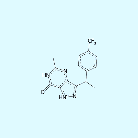 Cc1nc2c(C(C)c3ccc(C(F)(F)F)cc3)n[nH]c2c(=O)[nH]1